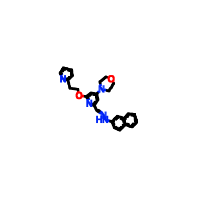 C(=N\Nc1ccc2ccccc2c1)/c1cc(N2CCOCC2)cc(OCCc2ccccn2)n1